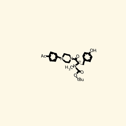 CC(=O)c1ccc(N2CCN(C(=O)[C@H](Cc3ccc(O)cc3)N(C)C(=O)OC(C)(C)C)CC2)cc1